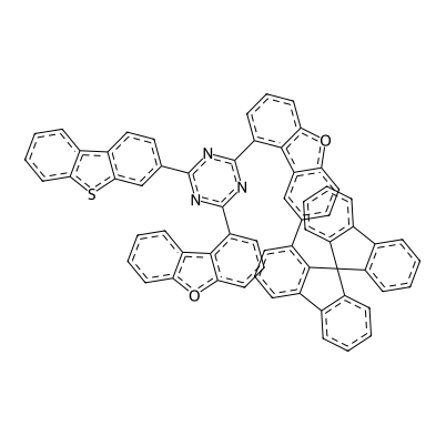 c1ccc2c(c1)-c1ccccc1C21c2ccccc2-c2cccc(-c3ccc4oc5cccc(-c6nc(-c7ccc8c(c7)sc7ccccc78)nc(-c7cccc8oc9ccccc9c78)n6)c5c4c3)c21